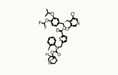 CC(C)Oc1cc([C@H](Cc2c(Cl)cncc2Cl)OC(=O)c2ccc(CN(C(=O)O[C@H]3CN4CCC3CC4)c3ccccc3F)s2)ccc1OC(F)F